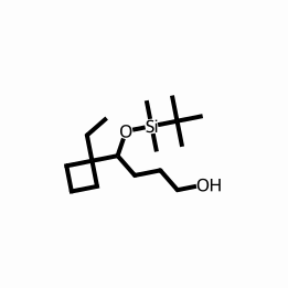 CCC1(C(CCCO)O[Si](C)(C)C(C)(C)C)CCC1